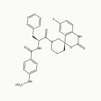 O=C(O)Nc1ccc(C(=O)N[C@@H](Cc2ccccc2)C(=O)N2CCC[C@]3(C2)OC(=O)Nc2ccc(F)cc23)cc1